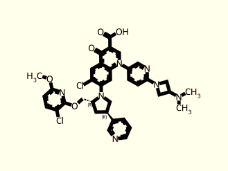 COc1ccc(Cl)c(OC[C@H]2C[C@H](c3cccnc3)CN2c2cc3c(cc2Cl)c(=O)c(C(=O)O)cn3-c2ccc(N3CC(N(C)C)C3)nc2)n1